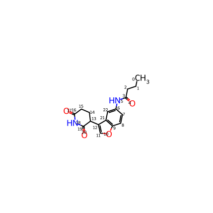 CCCC(=O)Nc1ccc2occ(C3CCC(=O)NC3=O)c2c1